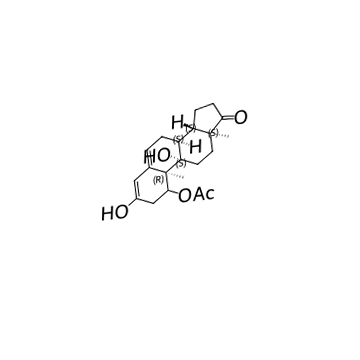 CC(=O)OC1CC(O)=CC2=CC[C@H]3[C@@H]4CCC(=O)[C@@]4(C)CC[C@@]3(O)[C@]21C